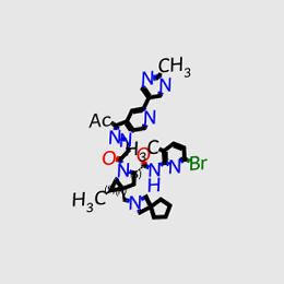 CC(=O)c1nn(CC(=O)N2C3[C@@H](C)[C@@]3(CN3CC4(CCCC4)C3)C[C@H]2C(=O)Nc2nc(Br)ccc2C)c2cnc(-c3cnc(C)nc3)cc12